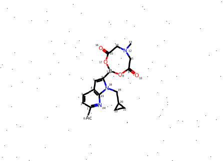 CC(=O)c1ccc2cc(B3OC(=O)CN(C)CC(=O)O3)n(CC3CC3)c2n1